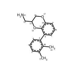 Cc1cccc(-c2cccc3c2OC(CN)CO3)c1C